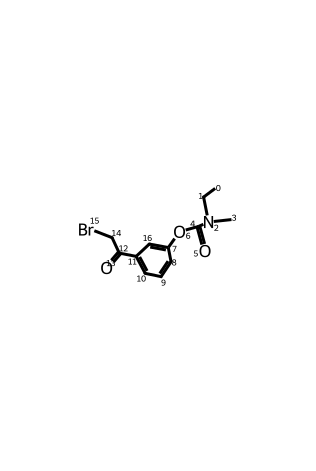 CCN(C)C(=O)Oc1cccc(C(=O)CBr)c1